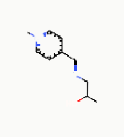 CC(O)CN=Cc1cc[n+](C)cc1